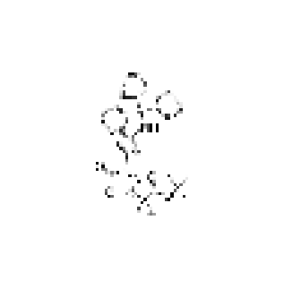 CC(C)(C)OC(=O)C1(ON=C(C(=O)O)c2csc(NC(c3ccccc3)(c3ccccc3)c3ccccc3)n2)CC1